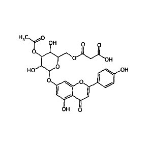 CC(=O)OC1C(O)C(COC(=O)CC(=O)O)OC(Oc2cc(O)c3c(=O)cc(-c4ccc(O)cc4)oc3c2)C1O